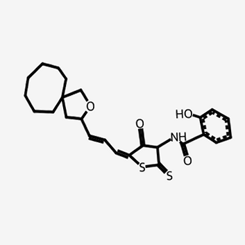 O=C(NC1C(=O)/C(=C\C=C\C2CC3(CCCCCCC3)CO2)SC1=S)c1ccccc1O